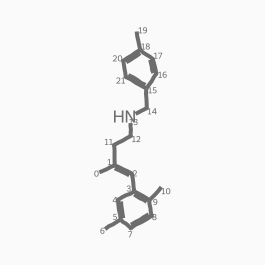 C/C(=C\c1cc(C)ccc1C)CCNCc1ccc(C)cc1